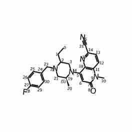 CCC1CN(c2cc(=O)n(C)c3ccc(C#N)nc23)[C@@H](C)CN1Cc1ccc(F)cc1